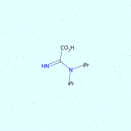 CC(C)N(C(=N)C(=O)O)C(C)C